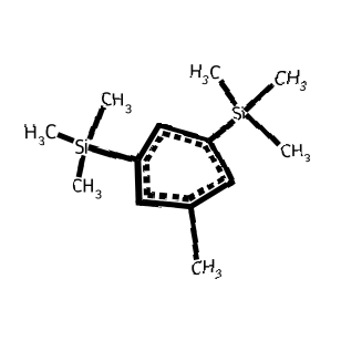 Cc1cc([Si](C)(C)C)cc([Si](C)(C)C)c1